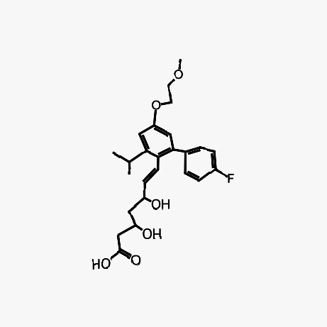 COCCOc1cc(-c2ccc(F)cc2)c(C=CC(O)CC(O)CC(=O)O)c(C(C)C)c1